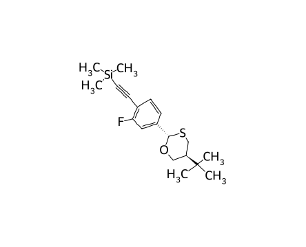 CC(C)(C)[C@H]1CO[C@H](c2ccc(C#C[Si](C)(C)C)c(F)c2)SC1